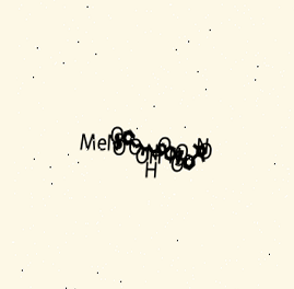 CNS(=O)(=O)c1cccc(OCC(O)CNC2COC3(CCN(S(=O)(=O)c4cccc(-c5c(C)noc5C)c4)CC3)C2)c1